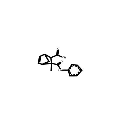 CC1(C(=O)Nc2ccccc2)C2C=CC(C2)C1C(=O)O